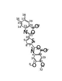 COc1cc2nc(-c3ccc(-c4nc5cc(C)c(C)cc5c(=O)o4)s3)oc(=O)c2cc1OC